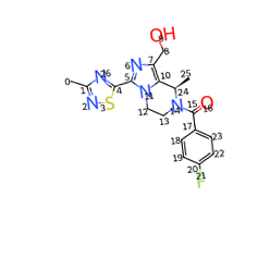 Cc1nsc(-c2nc(CO)c3n2CCN(C(=O)c2ccc(F)cc2)[C@@H]3C)n1